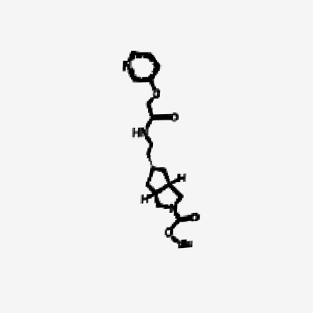 CC(C)(C)OC(=O)N1C[C@H]2C[C@@H](CCNC(=O)COc3cccnc3)C[C@H]2C1